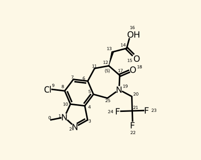 Cn1ncc2c3c(cc(Cl)c21)C[C@@H](CC(=O)O)C(=O)N(CC(F)(F)F)C3